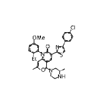 CCc1ccc(OC)cc1-n1c(C=C(C)C)c(C(=O)N2CCN[C@H](C)C2)cc(-c2nc(-c3ccc(Cl)cc3)cs2)c1=O